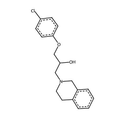 OC(COc1ccc(Cl)cc1)CN1CCc2ccccc2C1